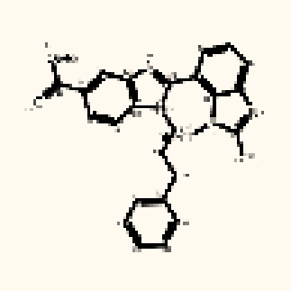 CCCCCn1c(C(F)(F)F)nc2cccc(-c3nc4cc(C(=O)OC)ccc4n3CCCc3ccccc3)c21